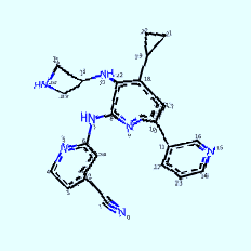 N#Cc1ccnc(Nc2nc(-c3cccnc3)cc(C3CC3)c2NC2CNC2)c1